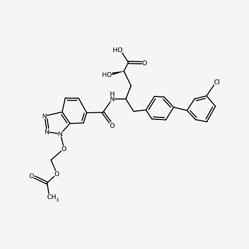 CC(=O)OCOn1nnc2ccc(C(=O)NC(Cc3ccc(-c4cccc(Cl)c4)cc3)C[C@@H](O)C(=O)O)cc21